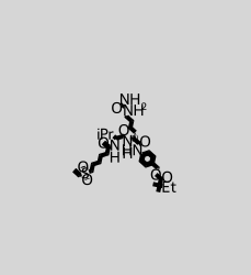 C=CS(=O)(=O)CCCCCC(=O)NC(C(=O)N[C@H](CCCCNC(N)=O)C(=O)Nc1ccc(COC(=O)C(C)(C)CC)cc1)C(C)C